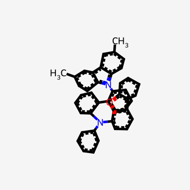 Cc1ccc2c(c1)c1cc(C)ccc1n2-c1ccccc1-c1ccccc1N(c1ccccc1)c1cccc2c1oc1ccccc12